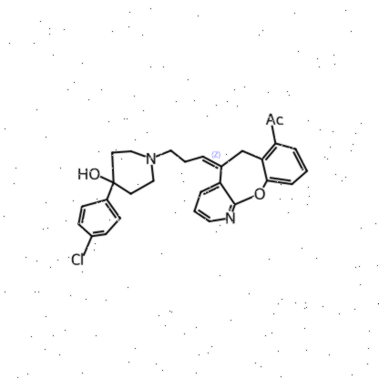 CC(=O)c1cccc2c1C/C(=C/CCN1CCC(O)(c3ccc(Cl)cc3)CC1)c1cccnc1O2